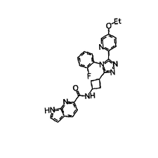 CCOc1ccc(-c2nnc(C3CC(NC(=O)c4ccc5cc[nH]c5n4)C3)n2-c2ccccc2F)nc1